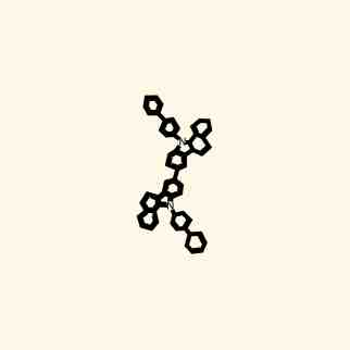 C1=CCC(C2=CCC(n3c4ccc(-c5ccc6c(c5)C5C=CC7=CCCC=C7C5N6c5ccc(-c6ccccc6)cc5)cc4c4ccc5ccccc5c43)C=C2)C=C1